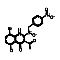 CC(=O)c1c([S+]([O-])Cc2ccc([N+](=O)[O-])cc2)[nH]c2c(Br)ccc(Cl)c2c1=O